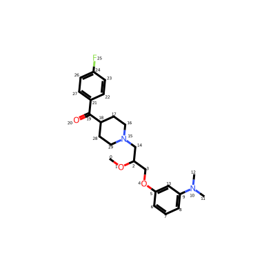 COC(COc1cccc(N(C)C)c1)CN1CCC(C(=O)c2ccc(F)cc2)CC1